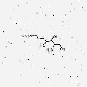 CCCCCCCCCCC(O)C(O)C(N)CO